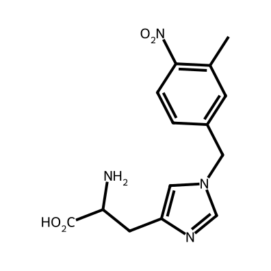 Cc1cc(Cn2cnc(CC(N)C(=O)O)c2)ccc1[N+](=O)[O-]